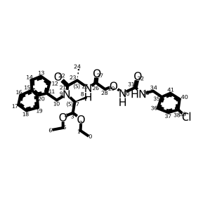 CCOC(OCC)[C@H](C)N(Cc1cccc2ccccc12)C(=O)[C@H](C)NC(=O)CONC(=O)NCc1ccc(Cl)cc1